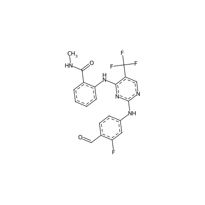 CNC(=O)c1ccccc1Nc1nc(Nc2ccc(C=O)c(F)c2)ncc1C(F)(F)F